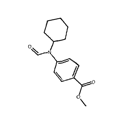 COC(=O)c1ccc(N(C=O)C2CCCCC2)cc1